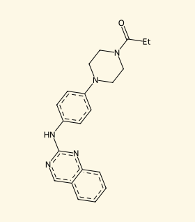 CCC(=O)N1CCN(c2ccc(Nc3ncc4ccccc4n3)cc2)CC1